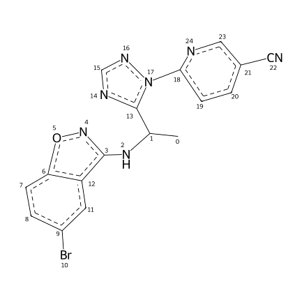 CC(Nc1noc2ccc(Br)cc12)c1ncnn1-c1ccc(C#N)cn1